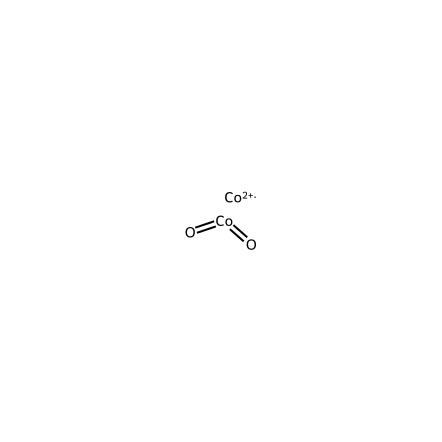 [Co+2].[O]=[Co]=[O]